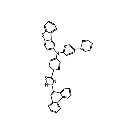 C1=CC(c2nc(-c3cc4ccccc4c4ccccc34)ns2)CC=C1N(c1ccc(-c2ccccc2)cc1)c1ccc2sc3ccccc3c2c1